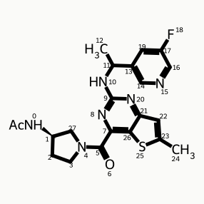 CC(=O)N[C@@H]1CCN(C(=O)c2nc(NC(C)c3cncc(F)c3)nc3cc(C)sc23)C1